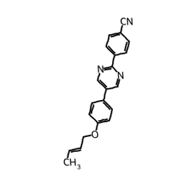 C/C=C/COc1ccc(-c2cnc(-c3ccc(C#N)cc3)nc2)cc1